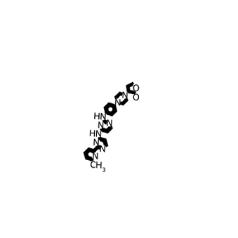 Cc1cccc(-c2nccc(Nc3ccnc(Nc4ccc(N5CCN(C6CCOC6=O)CC5)cc4)n3)n2)n1